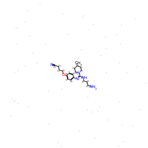 CC1CCN(/C(=N\c2ccc(OCCCC#N)cc2)NCCCN)CC1